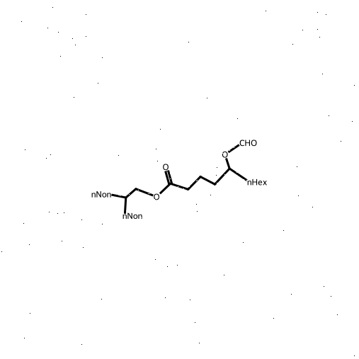 CCCCCCCCCC(CCCCCCCCC)COC(=O)CCCC(CCCCCC)OC=O